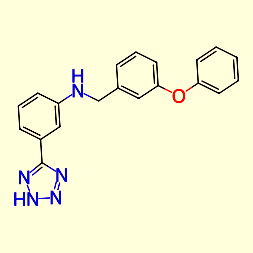 c1ccc(Oc2cccc(CNc3cccc(-c4nn[nH]n4)c3)c2)cc1